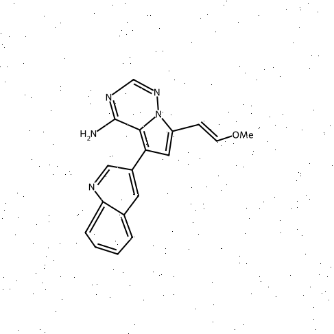 CO/C=C/c1cc(-c2cnc3ccccc3c2)c2c(N)ncnn12